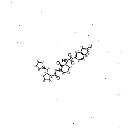 O=C1[C@@H](NS(=O)(=O)c2ccc3sc(Cl)cc3c2)CCCN1CC(=O)N1CCC[C@H]1CN1CCCC1